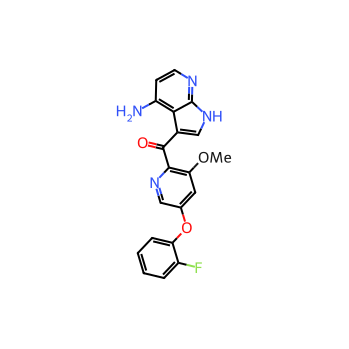 COc1cc(Oc2ccccc2F)cnc1C(=O)c1c[nH]c2nccc(N)c12